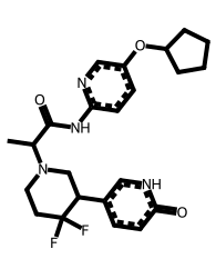 CC(C(=O)Nc1ccc(OC2CCCC2)cn1)N1CCC(F)(F)C(c2ccc(=O)[nH]c2)C1